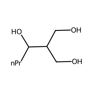 CCCC(O)C(CO)CO